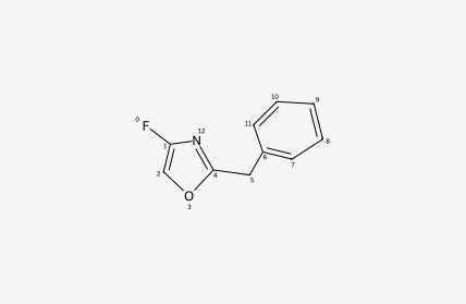 Fc1coc(Cc2ccccc2)n1